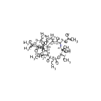 CC[C@H]1OC(=O)[C@H](C)C(=O)[C@H](C)[C@@H](O[C@@H]2O[C@H](C)C[C@H](N(C)C)[C@H]2OC(C)=O)[C@@](C)(OC)C[C@@H](C)C(=O)/C(COC(C)=O)=C/[C@]1(C)O